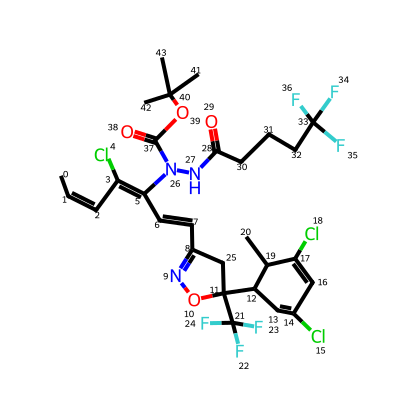 C\C=C/C(Cl)=C(\C=C\C1=NOC(C2C=C(Cl)C=C(Cl)C2C)(C(F)(F)F)C1)N(NC(=O)CCCC(F)(F)F)C(=O)OC(C)(C)C